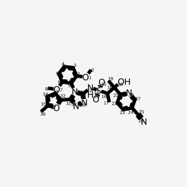 COc1cccc(OC)c1-n1c(NS(=O)(=O)C(C)C(C)(O)c2ccc(C#N)cn2)nnc1-c1ccc(C)o1